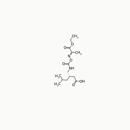 CCOC(=O)/C(C)=N/OC(=O)NC[C@H](CC(=O)O)CC(C)C